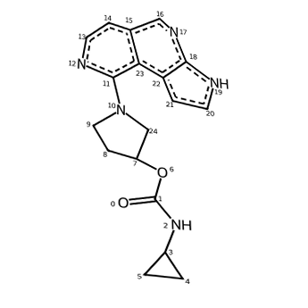 O=C(NC1CC1)OC1CCN(c2nccc3cnc4[nH]ccc4c23)C1